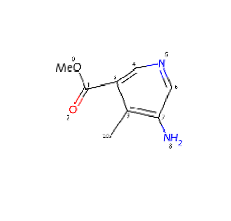 COC(=O)c1cncc(N)c1C